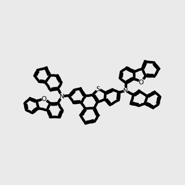 c1ccc2cc(N(c3ccc4c(c3)sc3c5ccc(N(c6ccc7ccccc7c6)c6cccc7c6oc6ccccc67)cc5c5ccccc5c43)c3cccc4c3oc3ccccc34)ccc2c1